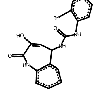 O=C(Nc1ccccc1Br)NC1C=C(O)C(=O)Nc2ccccc21